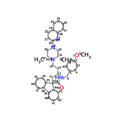 COc1ccc(CNC(=O)C2(CCCCN3[C@H](C)CN(c4ccc5ccccc5n4)C[C@@H]3C)c3ccccc3-c3ccccc32)cc1